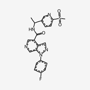 CC(NC(=O)c1cncc2c1cnn2-c1ccc(F)cc1)c1ccc(S(C)(=O)=O)nc1